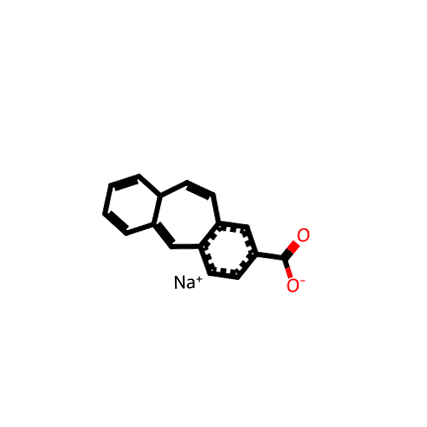 O=C([O-])c1ccc2c(c1)C=CC1C=CC=CC1=C2.[Na+]